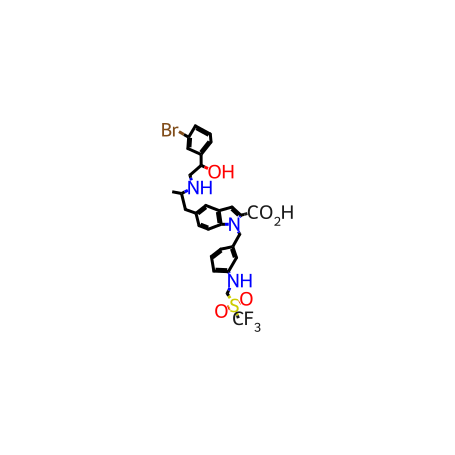 CC(Cc1ccc2c(c1)cc(C(=O)O)n2Cc1cccc(NCS(=O)(=O)C(F)(F)F)c1)NCC(O)c1cccc(Br)c1